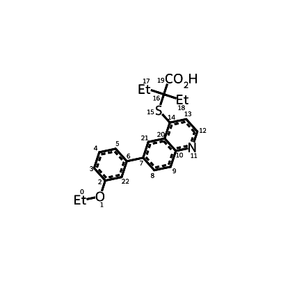 CCOc1cccc(-c2ccc3nccc(SC(CC)(CC)C(=O)O)c3c2)c1